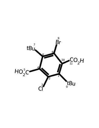 CC(C)(C)c1c(Cl)c(C(=O)O)c(C(C)(C)C)c(Br)c1C(=O)O